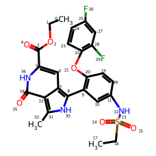 CCOC(=O)c1cc2c(-c3cc(NS(=O)(=O)CC)ccc3Oc3ccc(F)cc3F)[nH]c(C)c2c(=O)[nH]1